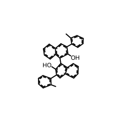 Cc1ccccc1-c1cc2ccccc2c(-c2c(O)c(-c3ccccc3C)cc3ccccc23)c1O